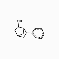 O=CC1CC2CC(c3ccccc3)C1C2